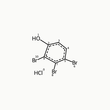 Cl.Oc1ccc(Br)c(Br)c1Br